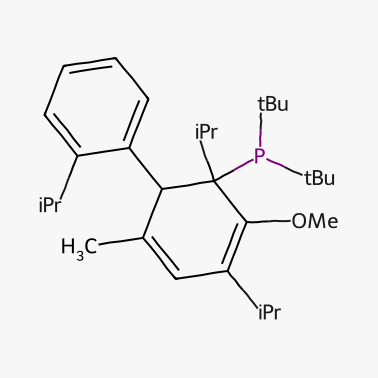 COC1=C(C(C)C)C=C(C)C(c2ccccc2C(C)C)C1(C(C)C)P(C(C)(C)C)C(C)(C)C